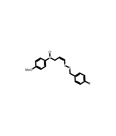 COc1ccc([S+]([O-])C/C=C\SSCc2ccc(F)cc2)cc1